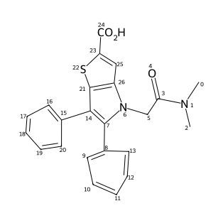 CN(C)C(=O)Cn1c(-c2ccccc2)c(-c2ccccc2)c2sc(C(=O)O)cc21